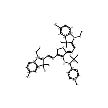 CCN1/C(=C/C=C2\CCC(/C=C/C3=[N+](CC)c4ccc(Cl)cc4C3(C)C)=C2OC(c2cc[n+](C)cc2)C(C)(C)C)C(C)(C)c2cc(Cl)ccc21